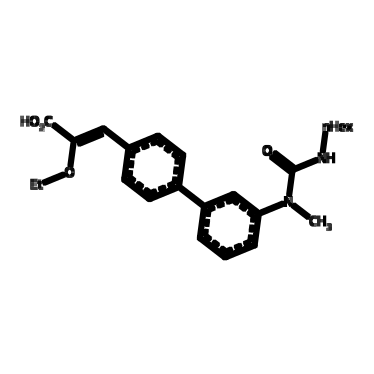 CCCCCCNC(=O)N(C)c1cccc(-c2ccc(/C=C(\OCC)C(=O)O)cc2)c1